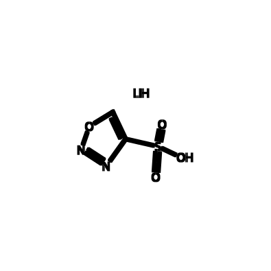 O=S(=O)(O)c1conn1.[LiH]